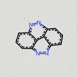 c1cc2nnc3cccc4nnc(c1)c2c34